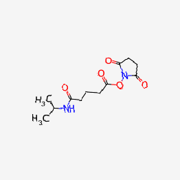 CC(C)NC(=O)CCCC(=O)ON1C(=O)CCC1=O